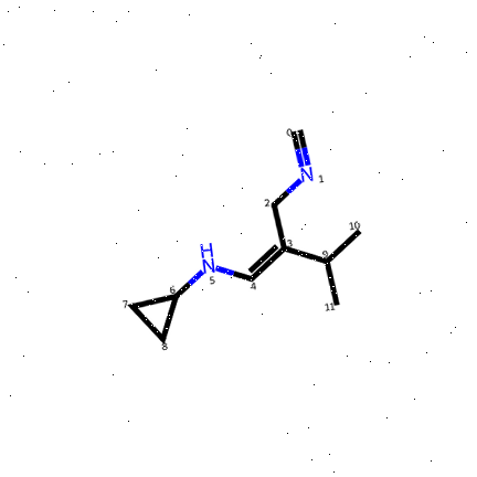 C=NC/C(=C\NC1CC1)C(C)C